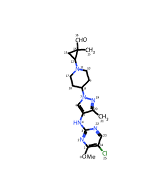 COc1nc(Nc2cn(C3CCN(C4CC4(C)C=O)CC3)nc2C)ncc1Cl